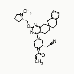 C=CC(=O)N1CCN(c2nc(OC[C@@H]3CCCN3C)nc3c2CC[C@@]2(CCc4ccccc4C2)C3)C[C@@H]1CC#N